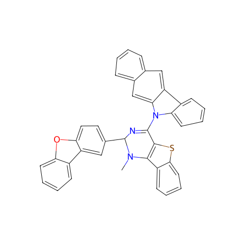 CN1c2c(sc3ccccc23)C(n2c3ccccc3c3cc4ccccc4cc32)=NC1c1ccc2oc3ccccc3c2c1